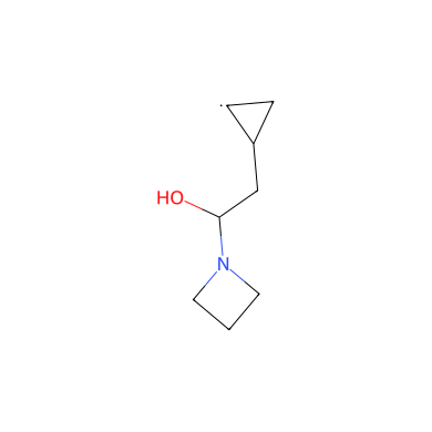 OC(CC1[CH]C1)N1CCC1